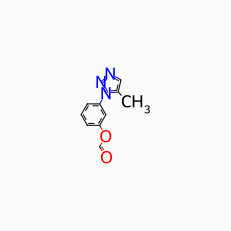 Cc1cnnn1-c1cccc(OC=O)c1